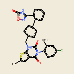 CCc1cc2c(=O)n(-c3ccc(Cl)cc3C(=O)O)c(=O)n(Cc3ccc(-c4ccccc4-c4noc(=O)[nH]4)cc3)c2s1